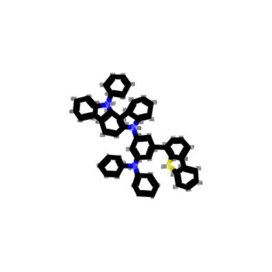 c1ccc(N(c2ccccc2)c2cc(-c3cccc4c3sc3ccccc34)cc(-n3c4ccccc4c4c3ccc3c5ccccc5n(-c5ccccc5)c34)c2)cc1